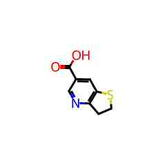 O=C(O)c1cnc2c(c1)SCC2